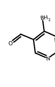 Bc1ccncc1C=O